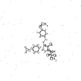 COc1ccc(CCN2C(=O)N(NS(C)(=O)=O)C[C@@H]2c2ccc(C3CC3)cc2)cc1